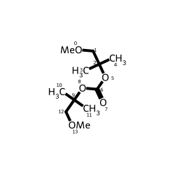 COCC(C)(C)OC(=O)OC(C)(C)COC